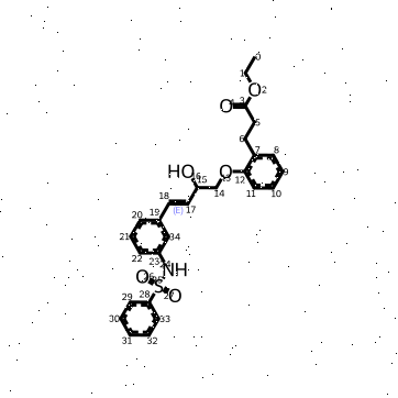 CCOC(=O)CCc1ccccc1OCC(O)/C=C/c1cccc(NS(=O)(=O)c2ccccc2)c1